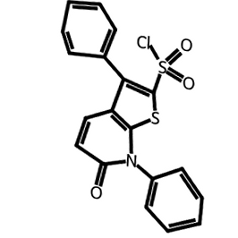 O=c1ccc2c(-c3ccccc3)c(S(=O)(=O)Cl)sc2n1-c1ccccc1